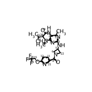 Cc1nc(NC2CN(C(=O)c3ccc(OCC(F)(F)F)nc3)C2)nc2c1NC(=O)[C@H](C(C)C)N2C